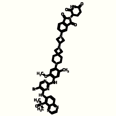 COc1cc(N2CCC3(CC2)CN(C2CN(c4ccc5c(c4)C(=O)N(C4CCC(=O)NC4=O)C5=O)C2)C3)c(C)cc1Nc1ncc(Br)c(Nc2ccc3nccnc3c2P(C)(C)=O)n1